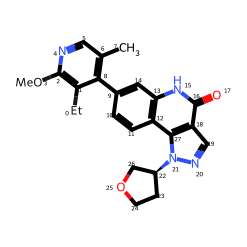 CCc1c(OC)ncc(C)c1-c1ccc2c(c1)[nH]c(=O)c1cnn([C@H]3CCOC3)c12